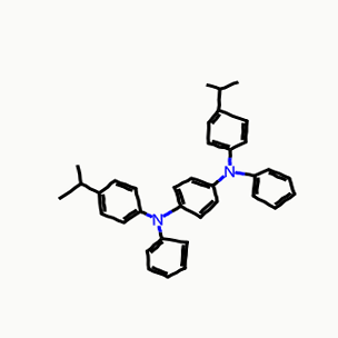 CC(C)c1ccc(N(c2ccccc2)c2ccc(N(c3ccccc3)c3ccc(C(C)C)cc3)cc2)cc1